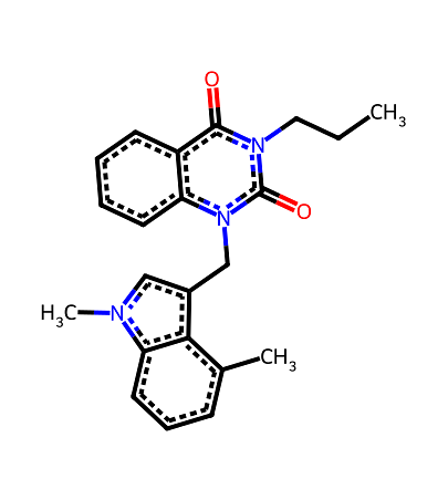 CCCn1c(=O)c2ccccc2n(Cc2cn(C)c3cccc(C)c23)c1=O